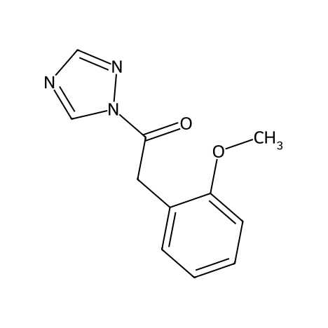 COc1ccccc1CC(=O)n1cncn1